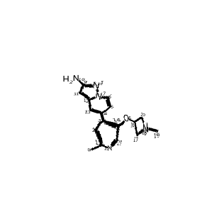 Cc1cc(-c2ccn3nc(N)cc3c2)c(OC2CN(C)C2)cn1